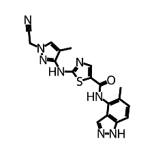 Cc1cn(CC#N)nc1Nc1ncc(C(=O)Nc2c(C)ccc3[nH]ncc23)s1